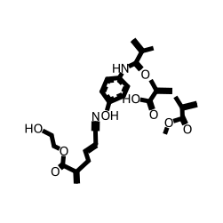 C=C(C)C(=O)Nc1ccc(O)cc1.C=C(C)C(=O)O.C=C(C)C(=O)OC.C=C(CC=CC#N)C(=O)OCCO